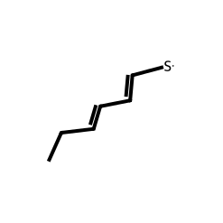 CCC=CC=C[S]